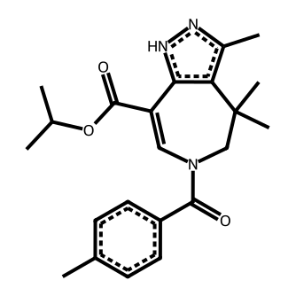 Cc1ccc(C(=O)N2C=C(C(=O)OC(C)C)c3[nH]nc(C)c3C(C)(C)C2)cc1